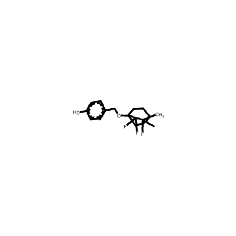 CC12CCC(OCc3ccc(O)cc3)(CC1)C(F)(F)C2(F)F